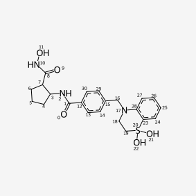 O=C(NC1CCCC1C(=O)NO)c1ccc(CN2CCS(O)(O)c3ccccc32)cc1